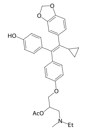 CCN(C)CC(COc1ccc(C(=C(c2ccc3c(c2)OCO3)C2CC2)c2ccc(O)cc2)cc1)OC(C)=O